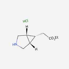 CCOC(=O)C[C@@H]1[C@@H]2CNC[C@@H]21.Cl